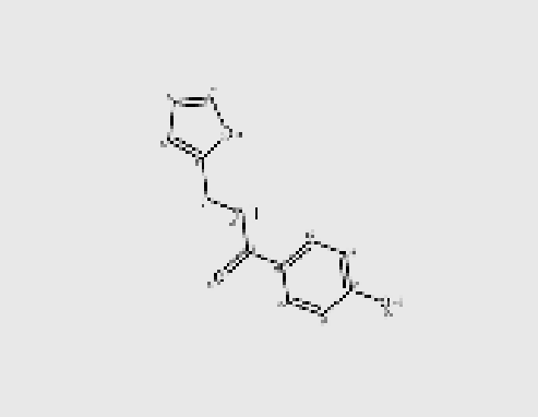 O=C(NCc1ccco1)c1ccc(O)cc1